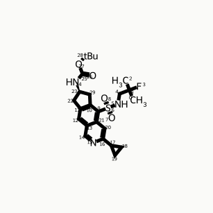 CC(C)(F)CNS(=O)(=O)c1c2c(cc3cnc(C4CC4)cc13)C[C@@H](NC(=O)OC(C)(C)C)C2